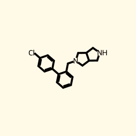 Clc1ccc(-c2ccccc2CN2CC3CNCC3C2)cc1